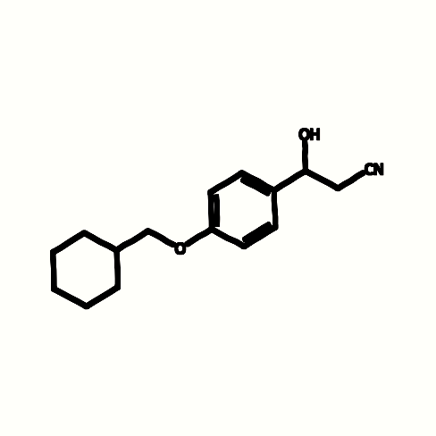 N#CCC(O)c1ccc(OCC2CCCCC2)cc1